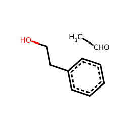 CC=O.OCCc1ccccc1